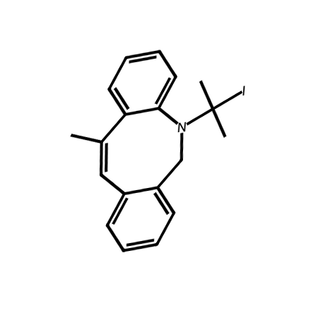 C/C1=C/c2ccccc2CN(C(C)(C)I)c2ccccc21